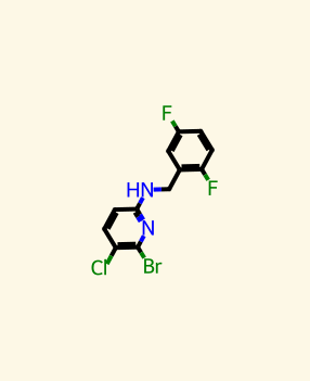 Fc1ccc(F)c(CNc2ccc(Cl)c(Br)n2)c1